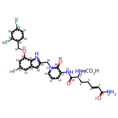 NC(=O)/C=C/CC[C@H](NC(=O)O)C(=O)Nc1cccn(Cc2cc3cc(F)cc(OCc4ccc(F)cc4F)c3[nH]2)c1=O